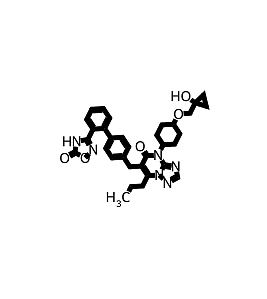 CCCc1c(Cc2ccc(-c3ccccc3-c3noc(=O)[nH]3)cc2)c(=O)n(C2CCC(OCC3(O)CC3)CC2)c2ncnn12